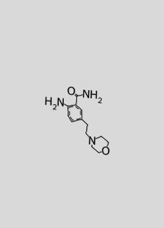 NC(=O)c1cc(CCN2CCOCC2)ccc1N